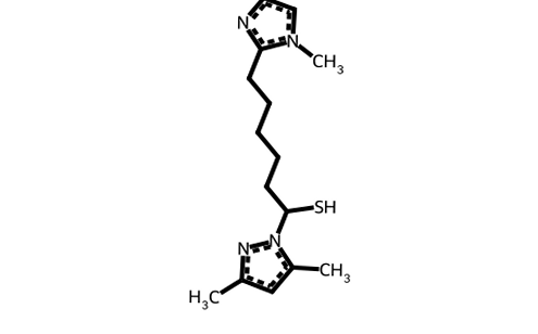 Cc1cc(C)n(C(S)CCCCCc2nccn2C)n1